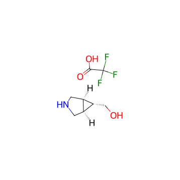 O=C(O)C(F)(F)F.OC[C@@H]1[C@H]2CNC[C@@H]12